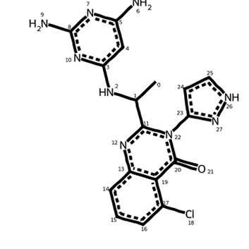 CC(Nc1cc(N)nc(N)n1)c1nc2cccc(Cl)c2c(=O)n1-c1cc[nH]n1